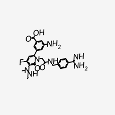 CNN(C)c1c(F)cc(-c2cc(N)cc(C(=O)O)c2)n(CC(=O)NCc2ccc(C(=N)N)cc2)c1=O